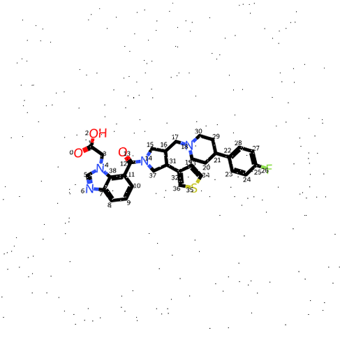 O=C(O)Cn1cnc2cccc(C(=O)N3CC(CN4CCC(c5ccc(F)cc5)CC4)C(c4ccsc4)C3)c21